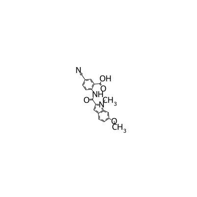 COc1ccc2cc(C(=O)Nc3ccc(C#N)cc3C(=O)O)n(C)c2c1